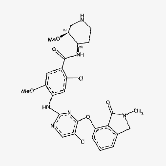 COc1cc(C(=O)N[C@@H]2CCNC[C@@H]2OC)c(Cl)cc1Nc1ncc(Cl)c(Oc2cccc3c2C(=O)N(C)C3)n1